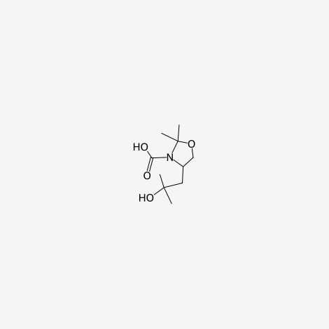 CC(C)(O)CC1COC(C)(C)N1C(=O)O